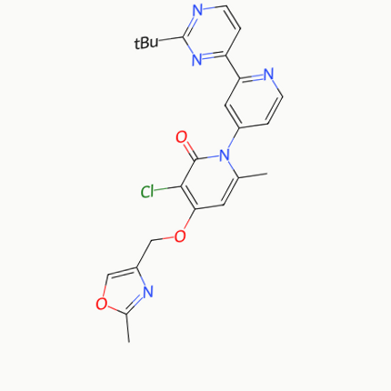 Cc1nc(COc2cc(C)n(-c3ccnc(-c4ccnc(C(C)(C)C)n4)c3)c(=O)c2Cl)co1